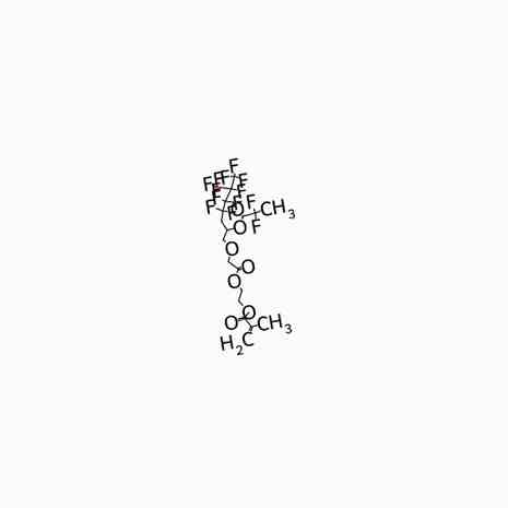 C=C(C)C(=O)OCCOC(=O)COCC(CC(F)(F)C(F)(F)C(F)(C(F)(F)F)C(F)(F)F)OC(=O)C(C)(F)F